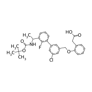 CC(NC(=O)OC(C)(C)C)c1cccc(-c2cc(Cl)cc(COc3ccccc3CC(=O)O)c2)c1F